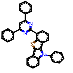 c1ccc(-c2cc(-c3ccccc3)nc(-c3cccc4c3sc3c5ccccc5n(-c5ccccc5)c43)n2)cc1